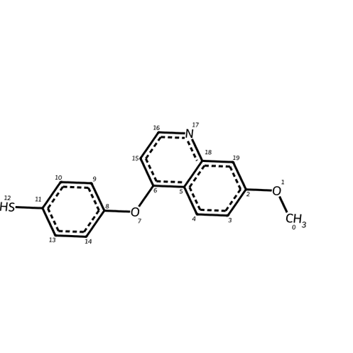 COc1ccc2c(Oc3ccc(S)cc3)ccnc2c1